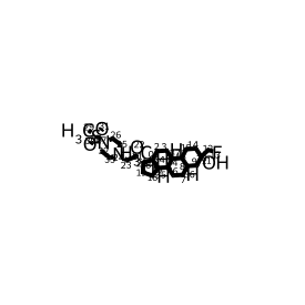 C[C@]12CC[C@H]3[C@@H](CC[C@@H]4C[C@@](O)(CF)CC[C@@H]43)[C@@H]1CC[C@@H]2C(=O)CN1CCN(S(C)(=O)=O)CC1